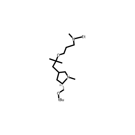 CCN(C)CCCOC(C)(C)CC1C[C@@H](COC(C)(C)C)N(C)C1